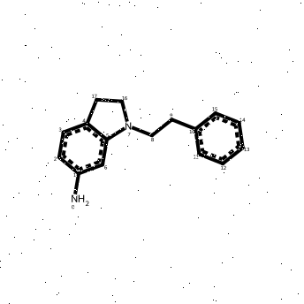 Nc1ccc2c(c1)N(CCc1ccccc1)CC2